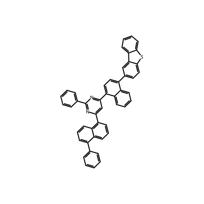 c1ccc(-c2nc(-c3cccc4c(-c5ccccc5)cccc34)cc(-c3ccc(-c4ccc5sc6ccccc6c5c4)c4ccccc34)n2)cc1